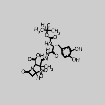 CC(C)(C)OC(=O)N[C@H](Cc1ccc(O)c(O)c1)C(=O)N/N=C/[C@@]1(C)[C@H](C(=O)O)N2C(=O)C[C@H]2S1(=O)=O